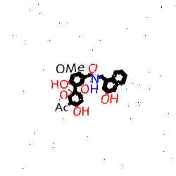 COc1cc(O)c2c(c1C(=O)NCc1cc(O)cc3ccccc13)OC1=CC(O)=C(C(C)=O)C(=O)[C@]12C